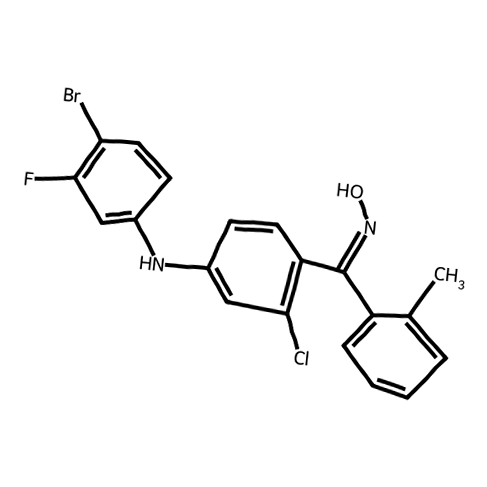 Cc1ccccc1C(=NO)c1ccc(Nc2ccc(Br)c(F)c2)cc1Cl